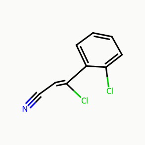 N#CC=C(Cl)c1ccccc1Cl